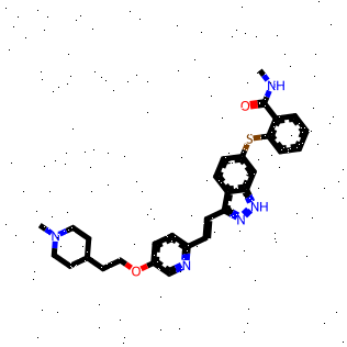 CNC(=O)c1ccccc1Sc1ccc2c(/C=C/c3ccc(OCCC4CCN(C)CC4)cn3)n[nH]c2c1